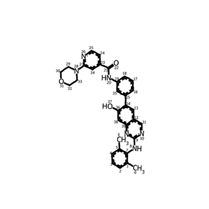 Cc1cccc(C)c1Nc1ncc2cc(-c3cccc(NC(=O)c4ccnc(N5CCOCC5)c4)c3)c(O)cc2n1